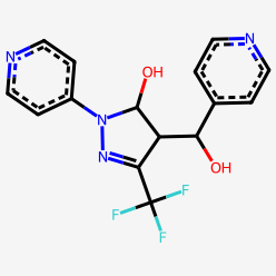 OC(c1ccncc1)C1C(C(F)(F)F)=NN(c2ccncc2)C1O